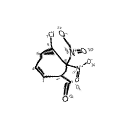 O=[C]C1C=CC=C(Cl)C1([N+](=O)[O-])[N+](=O)[O-]